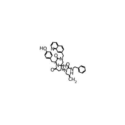 C=CCN(C(=O)NCc1ccccc1)N1CC(=O)N2[C@@H](Cc3ccc(O)cc3)C(=O)N(Cc3ccc4cccnc4c3)C[C@@H]21